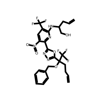 C=CCCC(OCc1ccccc1)(c1nnc(-c2nc(NC(CO)CC=C)c(C(F)(F)F)cc2[N+](=O)[O-])o1)C(F)(F)F